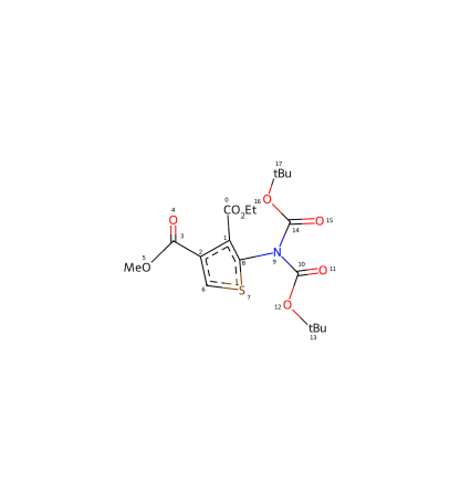 CCOC(=O)c1c(C(=O)OC)csc1N(C(=O)OC(C)(C)C)C(=O)OC(C)(C)C